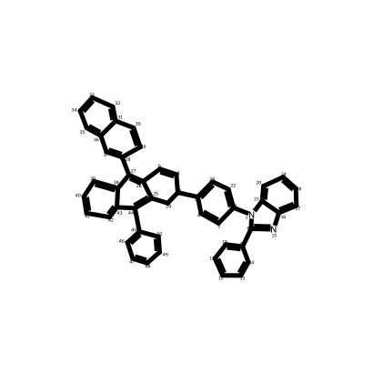 C1=CC(c2ccc(-n3c(-c4ccccc4)nc4ccccc43)cc2)Cc2c1c(-c1ccc3ccccc3c1)c1ccccc1c2-c1ccccc1